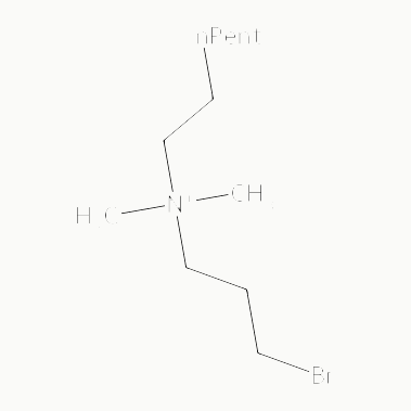 CCCCCCC[N+](C)(C)CCCBr